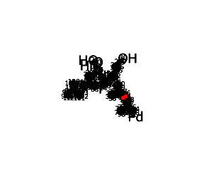 O=C(O)NC1CCC(NC(=O)c2cc(F)cnc2Oc2cccc(-c3ccc(CCO)cc3)c2)CC1.[Pd].c1ccc(P(c2ccccc2)c2ccccc2)cc1.c1ccc(P(c2ccccc2)c2ccccc2)cc1.c1ccc(P(c2ccccc2)c2ccccc2)cc1.c1ccc(P(c2ccccc2)c2ccccc2)cc1